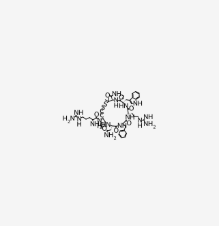 CC1(C)SSCC[C@H](NC(=O)[C@@H](N)CCCNC(=N)N)C(=O)N[C@@H](CC(N)=O)C(=O)N[C@H](Cc2ccccc2)C(=O)N[C@@H](CCCNC(=N)N)C(=O)N[C@@H](Cc2c[nH]c3ccccc23)C(=O)N[C@@H]1C(N)=O